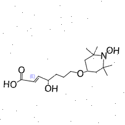 CC1(C)CC(OCCCC(O)/C=C/C(=O)O)CC(C)(C)N1O